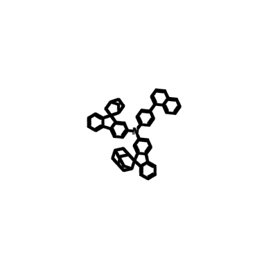 c1ccc2c(c1)-c1ccc(N(c3ccc(-c4cccc5ccccc45)cc3)c3ccc4c(c3)C3(c5ccccc5-4)C4CC5CC(C4)CC3C5)cc1C21CC2CCC1C2